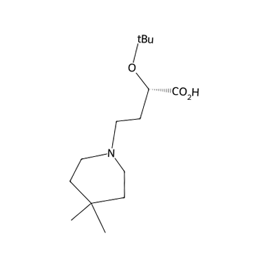 CC1(C)CCN(CC[C@H](OC(C)(C)C)C(=O)O)CC1